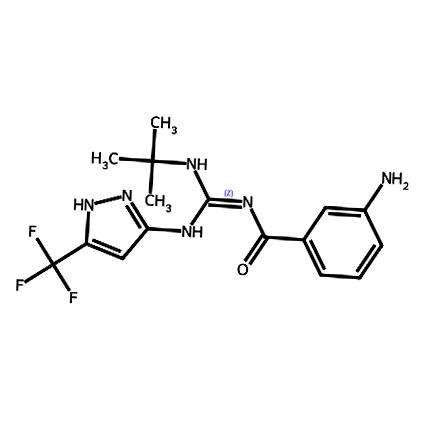 CC(C)(C)N/C(=N/C(=O)c1cccc(N)c1)Nc1cc(C(F)(F)F)[nH]n1